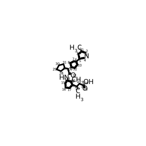 Cc1cncc(-c2ccc([C@H](C(=O)Nc3cccc([C@H](C)CC(=O)O)c3C)C3CCCC3)cc2)c1